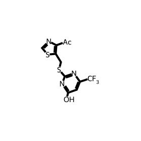 CC(=O)c1ncsc1CSc1nc(O)cc(C(F)(F)F)n1